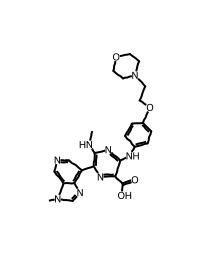 CNc1nc(Nc2ccc(OCCN3CCOCC3)cc2)c(C(=O)O)nc1-c1cncc2c1ncn2C